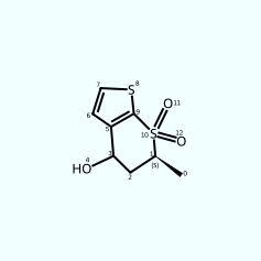 C[C@H]1CC(O)c2ccsc2S1(=O)=O